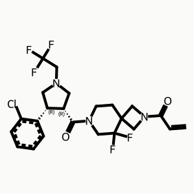 C=CC(=O)N1CC2(CCN(C(=O)[C@H]3CN(CC(F)(F)F)C[C@H]3c3ccccc3Cl)CC2(F)F)C1